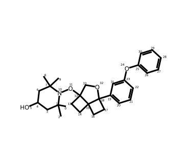 CC1(C)CC(O)CC(C)(C)N1OC12CCC13CCC3(c1cccc(Oc3ccccc3)c1)OC2